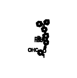 CCCCC1(CCCC)c2cc(C#COc3cc(C=O)ccc3I)ccc2-c2ccc(-c3ccc(N(c4ccccc4)c4ccccc4)cc3)cc21